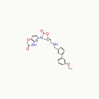 CCOc1cccc(-c2cccc(CNCC[C@H]3CN(c4ccc5c(n4)NC(=O)CO5)C(=O)O3)c2)c1